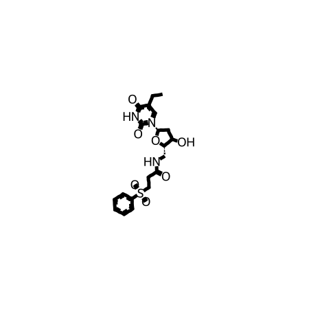 CCc1cn([C@@H]2CC(O)[C@H](CNC(=O)CCS(=O)(=O)c3ccccc3)O2)c(=O)[nH]c1=O